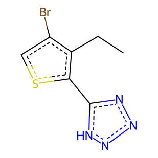 CCc1c(Br)csc1-c1nnn[nH]1